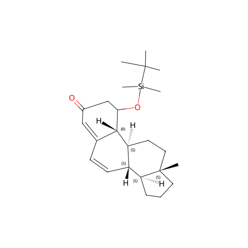 CC(C)(C)[Si](C)(C)OC1CC(=O)C=C2C=C[C@@H]3[C@H](CC[C@]4(C)CCC[C@@H]34)[C@H]21